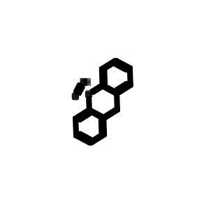 O=P.c1ccc2c(c1)Cc1ccccc1O2